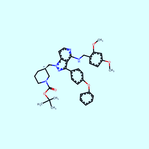 COc1ccc(CNc2nccc3c2c(-c2ccc(Oc4ccccc4)cc2)nn3C[C@@H]2CCCN(C(=O)OC(C)(C)C)C2)c(OC)c1